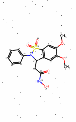 COc1cc2c(cc1OC)S(=O)(=O)N(c1ccccc1)C2CC(=O)NO